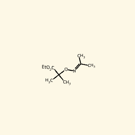 CCOC(=O)C(C)(C)ON=C(C)C